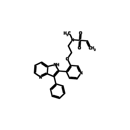 C=CS(=O)(=O)N(C)CCOc1cnccc1-c1[nH]c2cccnc2c1-c1ccccc1